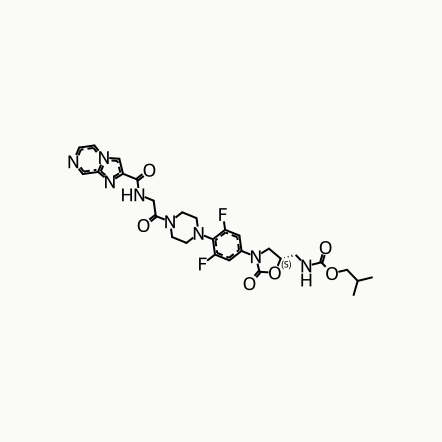 CC(C)COC(=O)NC[C@H]1CN(c2cc(F)c(N3CCN(C(=O)CNC(=O)c4cn5ccncc5n4)CC3)c(F)c2)C(=O)O1